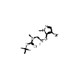 C[C@H](CN(C)C(=O)OC(C)(C)C)Oc1c(Br)cnn1C